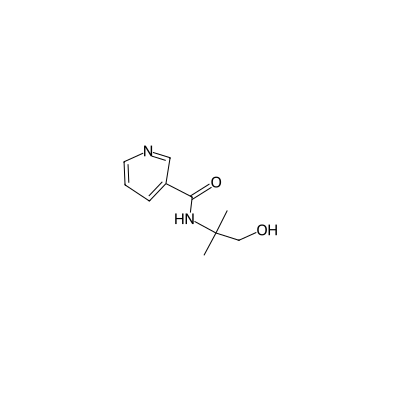 CC(C)(CO)NC(=O)c1cccnc1